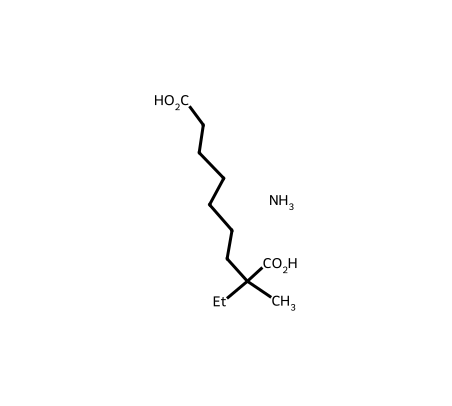 CCC(C)(CCCCCCC(=O)O)C(=O)O.N